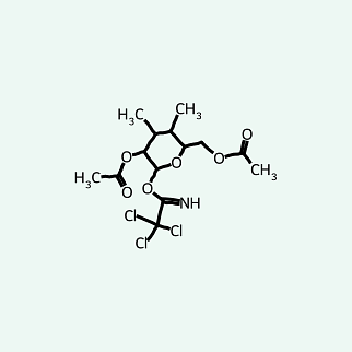 CC(=O)OCC1OC(OC(=N)C(Cl)(Cl)Cl)C(OC(C)=O)C(C)C1C